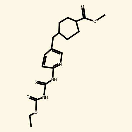 CCOC(=O)NC(=S)Nc1ccc(CC2CCC(C(=O)OC)CC2)cn1